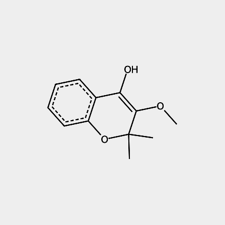 COC1=C(O)c2ccccc2OC1(C)C